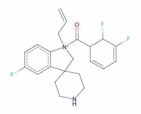 C=CC[N+]1(C(=O)C2C=CC=C(F)C2F)CC2(CCNCC2)c2cc(F)ccc21